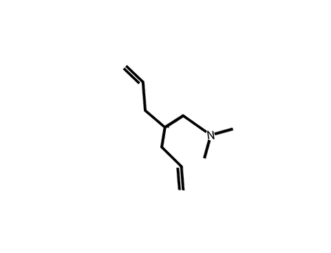 C=CC[C](CC=C)CN(C)C